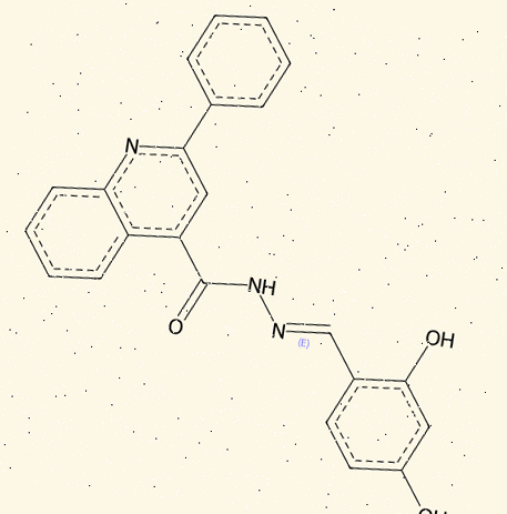 O=C(N/N=C/c1ccc(O)cc1O)c1cc(-c2ccccc2)nc2ccccc12